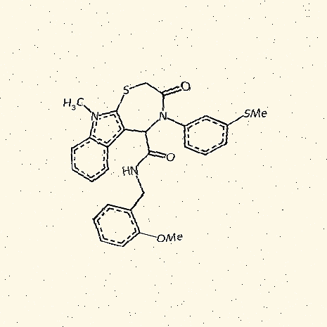 COc1ccccc1CNC(=O)C1c2c(n(C)c3ccccc23)SCC(=O)N1c1cccc(SC)c1